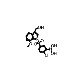 COc1cccc2c(CO)cn(S(=O)(=O)c3ccc(Cl)c(N(O)O)c3)c12